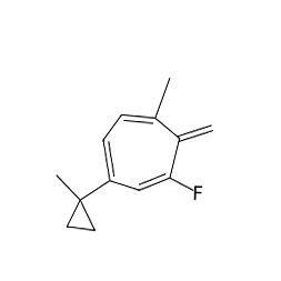 C=C1C(C)=CC=C(C2(C)CC2)C=C1F